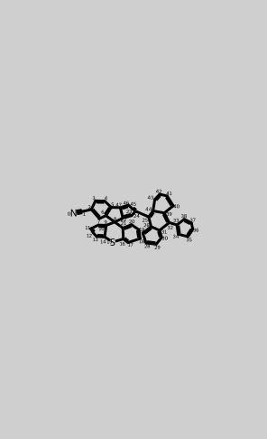 N#Cc1ccc2c(c1)C1(c3ccccc3Sc3ccccc31)c1cc(-c3c4ccccc4c(-c4ccccc4)c4ccccc34)ccc1-2